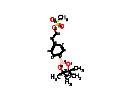 CC1(C)OB(c2ccc(CCOS(C)(=O)=O)cc2)OC1(C)C